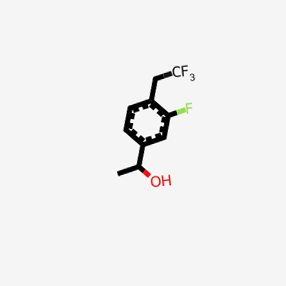 CC(O)c1ccc(CC(F)(F)F)c(F)c1